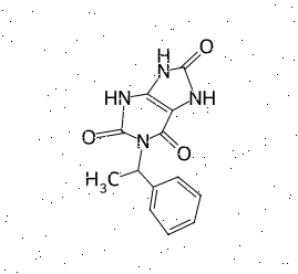 CC(c1ccccc1)n1c(=O)[nH]c2[nH]c(=O)[nH]c2c1=O